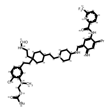 CC(C)C1=CC(=N)/C(=C\NC2CCN(CCC3CCC(CCNC=O)(CCc4ccc(Cl)c(N(C)COC(=O)C(C)(C)C)c4)CC3)CC2)C=C1NC(=O)c1cccc(C(F)(F)F)n1